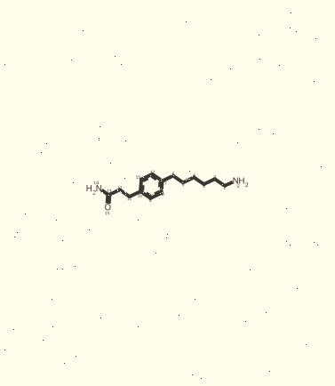 NCCCCCCc1ccc(CCC(N)=O)cc1